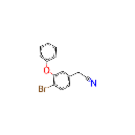 N#CCc1ccc(Br)c(Oc2ccccc2)c1